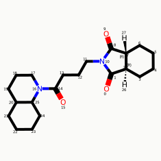 O=C1[C@@H]2CCCC[C@H]2C(=O)N1CCCC(=O)N1CCCC2CCCCC21